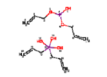 C=CCOP(O)OCC=C.C=CCP(O)(O)(O)CC=C